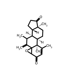 C=C1C(C)[C@@H]2[C@@H](CC[C@]3(C)C(=O)CC[C@@H]23)[C@@]2(C)C(C)=CC(=O)C3OC132